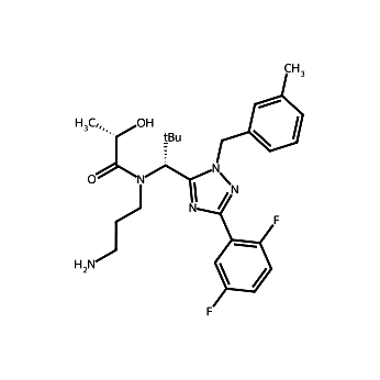 Cc1cccc(Cn2nc(-c3cc(F)ccc3F)nc2[C@H](N(CCCN)C(=O)[C@H](C)O)C(C)(C)C)c1